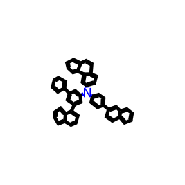 c1ccc(-c2cc(-c3cccc4ccccc34)cc(N(c3ccc(-c4ccc5ccccc5c4)cc3)c3ccc4ccc5ccccc5c4c3)c2)cc1